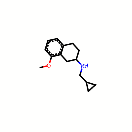 COc1cccc2c1CC(NCC1CC1)CC2